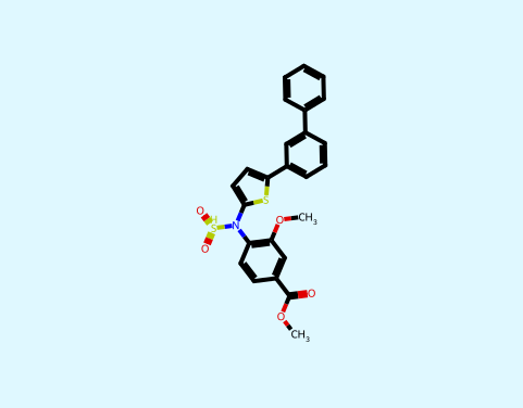 COC(=O)c1ccc(N(c2ccc(-c3cccc(-c4ccccc4)c3)s2)[SH](=O)=O)c(OC)c1